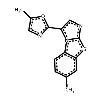 Cc1ccc2c(c1)sc1ncc(-c3ncc(C)o3)n12